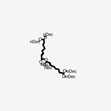 CCCCCCCCCCOC(CCCCC=CC(OCCCC)OC(C=CCCCCC(OCCCCCCCCCC)OCCCCCCCCCC)OCCCC)OCCCCCCCCCC